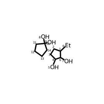 CCC1CCC(O)C1O.OC1(O)CCCC1